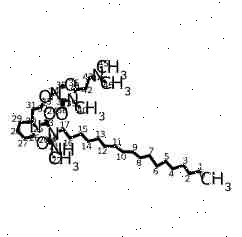 CCCCCCCCCCCCCCCCCCN(C(=O)NC)C(=O)N1CCCCC1CCON(C=O)C(=O)N(C)CCCN(C)C